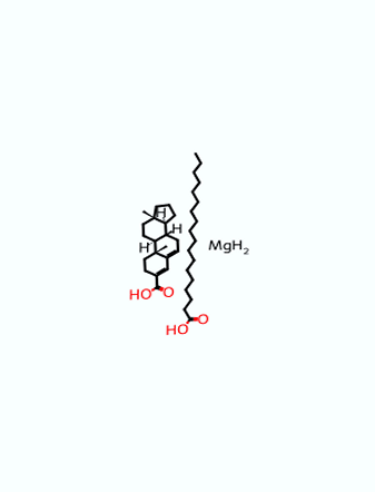 CCCCCCCCCCCCCCCCCC(=O)O.C[C@@]12CCC[C@H]1[C@@H]1CC=C3C=C(C(=O)O)CC[C@]3(C)[C@H]1CC2.[MgH2]